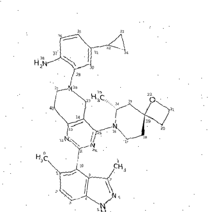 Cc1ccc2[nH]nc(C)c2c1-c1nc2c(c(N3CC[C@@]4(CCO4)C[C@H]3C)n1)CN(c1cc(C3CC3)ccc1N)CC2